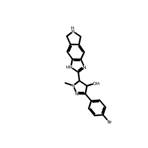 CN1N=C(c2ccc(Br)cc2)C(O)C1c1nc2cc3c(cc2[nH]1)CNC3